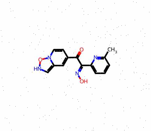 Cc1cccc(C(=NO)C(=O)C2=CC3=CNON3C=C2)n1